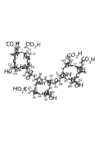 CC1=C(CCC(=O)O)c2cc3[nH]c(cc4nc(cc5[nH]c(cc1n2)c(C)c5C(C)OC(=O)CCc1c(C)c2cc5nc(cc6[nH]c(cc7nc(cc1[nH]2)C(CCC(=O)O)=C7C)c(C)c6C(C)O)C(C(C)OC(C)c1c(C)c2cc6nc(cc7[nH]c(cc8nc(cc1[nH]2)C(C)=C8C(C)O)c(C)c7CCC(=O)O)C(CCC(=O)O)=C6C)=C5C)C(C)=C4C(C)O)c(C)c3CCC(=O)O